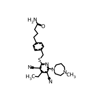 CCc1c(C#N)c(SCc2ccc(CCCC(N)=O)cc2)nc(N2CCCN(C)CC2)c1C#N